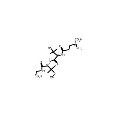 CC(C)(S)[C@@H](NC(=O)CC[C@H](N)C(=O)O)C(=O)N[C@@H](C(=O)NCC(=O)O)C(C)(C)SN=O